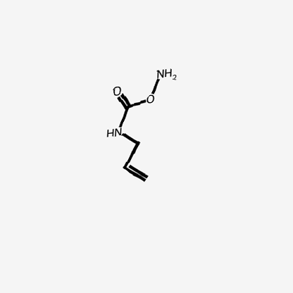 C=CCNC(=O)ON